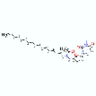 CCCCCCCCCCCCCCCCCN(CC1CCC(n2ccc(=O)[nH]c2=O)O1)C(C)=O